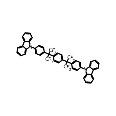 FC(F)(F)C(c1ccc(-n2c3ccccc3c3ccccc32)cc1)(c1ccc(C(c2ccc(-n3c4ccccc4c4ccccc43)cc2)(C(F)(F)F)C(F)(F)F)cc1)C(F)(F)F